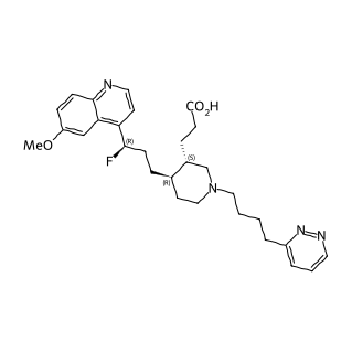 COc1ccc2nccc([C@H](F)CC[C@@H]3CCN(CCCCc4cccnn4)C[C@H]3CCC(=O)O)c2c1